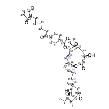 CC[C@H](O)[C@@H](C)[C@H]1O[C@@H]1CC(C)(O)/C=C/C=C(\C)[C@H]1OC(=O)C[C@H](O)CC[C@@](C)(OC)[C@@H](OC(=O)N2CCN(C(=O)CCCCCN3C(=O)C=CC3=O)CC2)/C=C/[C@@H]1C